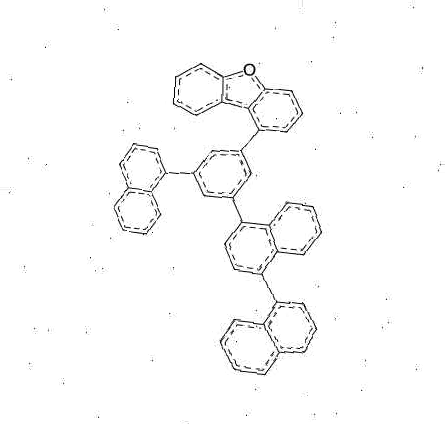 c1ccc2c(-c3cc(-c4ccc(-c5cccc6ccccc56)c5ccccc45)cc(-c4cccc5oc6ccccc6c45)c3)cccc2c1